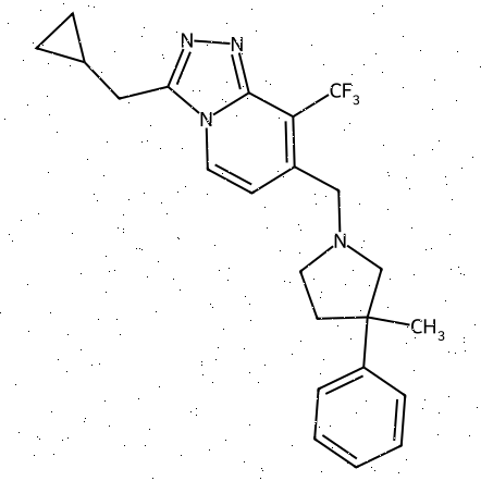 CC1(c2ccccc2)CCN(Cc2ccn3c(CC4CC4)nnc3c2C(F)(F)F)C1